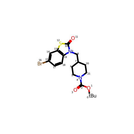 CC(C)(C)OC(=O)N1CCC(Cn2c(=O)sc3cc(Br)ccc32)CC1